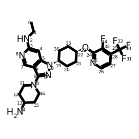 CCNc1cc2c(cn1)c(N1CCC(N)CC1)nn2[C@H]1CC[C@@H](Oc2nccc(C(F)(F)F)c2F)CC1